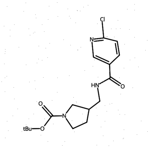 CC(C)(C)OC(=O)N1CCC(CNC(=O)c2ccc(Cl)nc2)C1